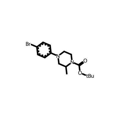 CC1CN(c2ccc(Br)cc2)CCN1C(=O)OC(C)(C)C